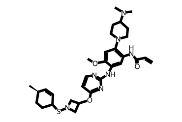 C=CC(=O)Nc1cc(Nc2nccc(OC3CN(SC4C=C[C@H](C)CC4)C3)n2)c(OC)cc1N1CCC(N(C)C)CC1